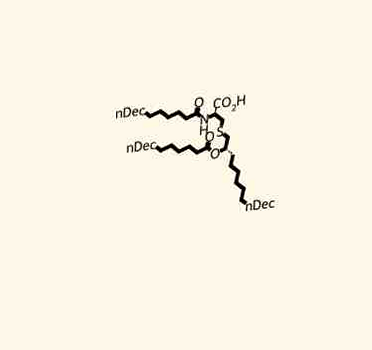 CCCCCCCCCCCCCCCC[C@@H](CSC[C@H](NC(=O)CCCCCCCCCCCCCCC)C(=O)O)OC(=O)CCCCCCCCCCCCCCC